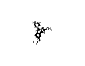 CCc1ccc2nc(N3CCNCC3)n3nc(C)nc3c2c1